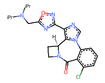 CC(C)N(Cc1nc(-c2ncn3c2[C@@H]2CCN2C(=O)c2c(Cl)cccc2-3)no1)C(C)C